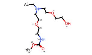 CC(=O)CN(CCOCCO)CCOCCNC(=O)OC(C)(C)C